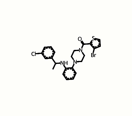 CC(Nc1ccccc1N1CCN(C(=O)c2sccc2Br)CC1)c1cccc(Cl)c1